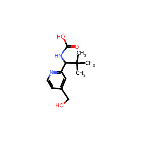 CC(C)(C)C(NC(=O)O)c1cc(CO)ccn1